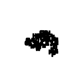 CC(n1nc(-c2cc(OCC(F)(F)F)ncc2F)c2c1C[C@H](C(=O)NC1(C#N)CCS(=O)(=O)CC1)CC2)C(C)(C)O